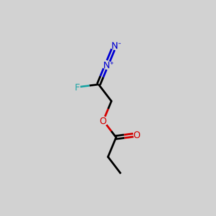 CCC(=O)OCC(F)=[N+]=[N-]